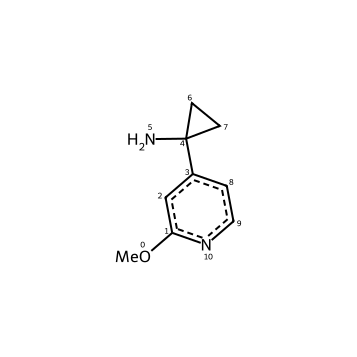 COc1cc(C2(N)CC2)ccn1